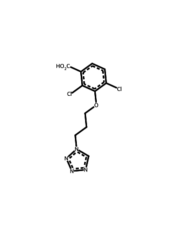 O=C(O)c1ccc(Cl)c(OCCCn2cnnn2)c1Cl